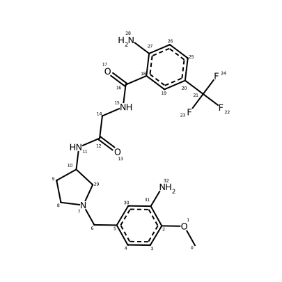 COc1ccc(CN2CCC(NC(=O)CNC(=O)c3cc(C(F)(F)F)ccc3N)C2)cc1N